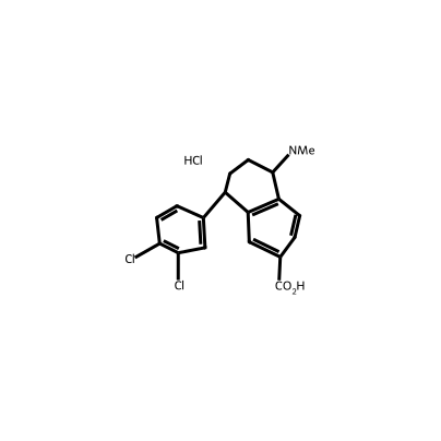 CNC1CCC(c2ccc(Cl)c(Cl)c2)c2cc(C(=O)O)ccc21.Cl